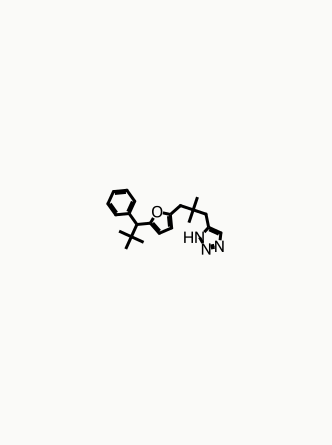 CC(C)(Cc1cnn[nH]1)Cc1ccc(C(c2ccccc2)C(C)(C)C)o1